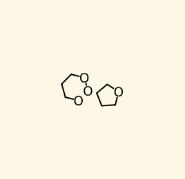 C1CCOC1.C1COOOC1